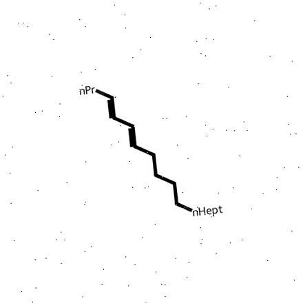 CCC/[C]=C/C=CCCCCCCCCCCC